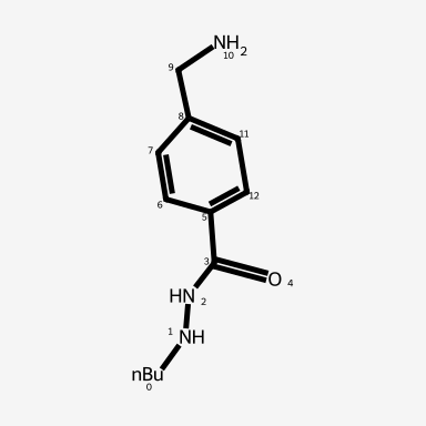 CCCCNNC(=O)c1ccc(CN)cc1